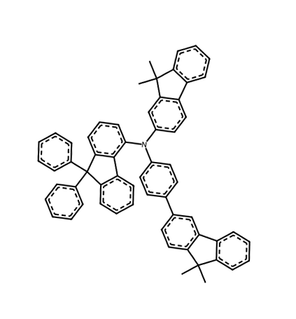 CC1(C)c2ccccc2-c2cc(-c3ccc(N(c4ccc5c(c4)C(C)(C)c4ccccc4-5)c4cccc5c4-c4ccccc4C5(c4ccccc4)c4ccccc4)cc3)ccc21